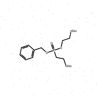 CCCCCCCCCCCCOP(=O)(CCCCCCCCCCCC)OCc1ccccc1